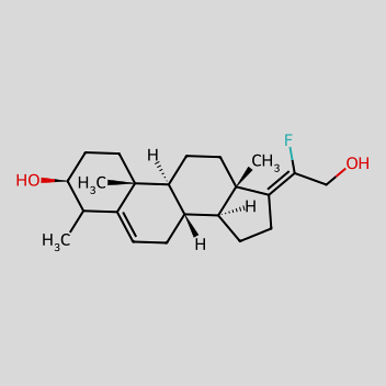 CC1C2=CC[C@@H]3[C@H](CC[C@]4(C)C(=C(F)CO)CC[C@@H]34)[C@@]2(C)CC[C@@H]1O